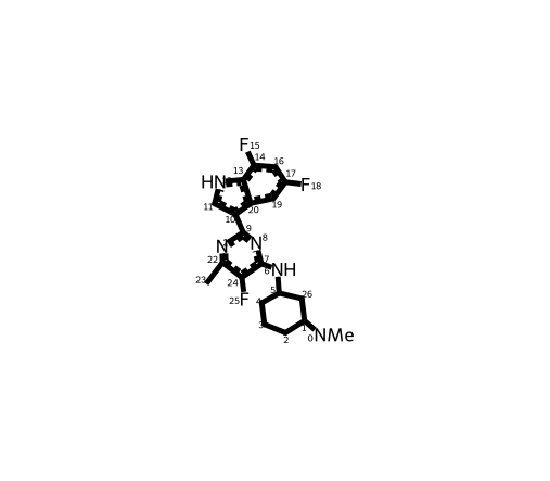 CNC1CCCC(Nc2nc(-c3c[nH]c4c(F)cc(F)cc34)nc(C)c2F)C1